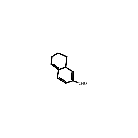 O=CC1=CC2CCCC=C2C=C1